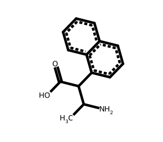 CC(N)C(C(=O)O)c1cccc2ccccc12